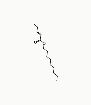 CCC=CC(=O)OCCCCCCCCC